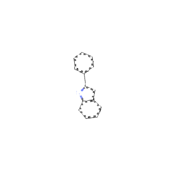 [c]1ccc2[nH]c(-c3ccccc3)cc2c1